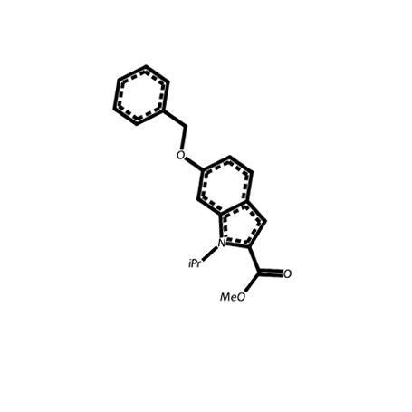 COC(=O)c1cc2ccc(OCc3ccccc3)cc2n1C(C)C